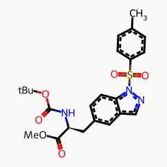 COC(=O)[C@H](Cc1ccc2c(cnn2S(=O)(=O)c2ccc(C)cc2)c1)NC(=O)OC(C)(C)C